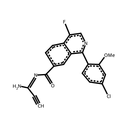 C#C/C(N)=N\C(=O)c1ccc2c(F)cnc(-c3ccc(Cl)cc3OC)c2c1